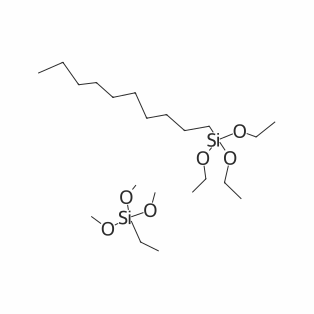 CCCCCCCCCC[Si](OCC)(OCC)OCC.CC[Si](OC)(OC)OC